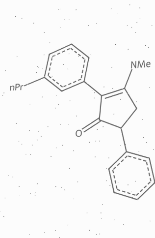 CCCc1cccc(C2=C(NC)CC(c3ccccc3)C2=O)c1